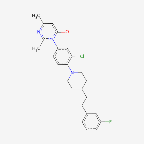 Cc1cc(=O)n(-c2ccc(N3CCC(CCc4cccc(F)c4)CC3)c(Cl)c2)c(C)n1